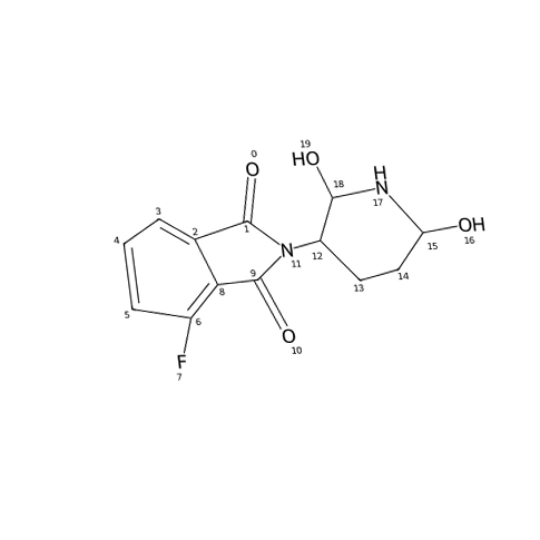 O=C1c2cccc(F)c2C(=O)N1C1CCC(O)NC1O